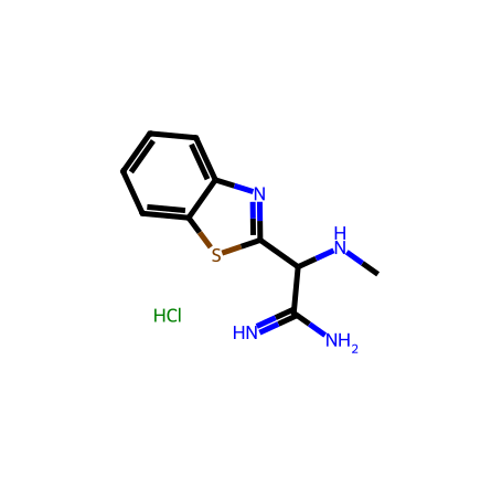 CNC(C(=N)N)c1nc2ccccc2s1.Cl